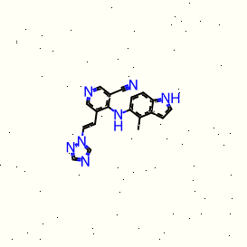 Cc1c(Nc2c(C#N)cncc2C=Cn2cncn2)ccc2[nH]ccc12